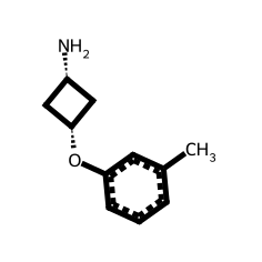 Cc1cccc(O[C@H]2C[C@@H](N)C2)c1